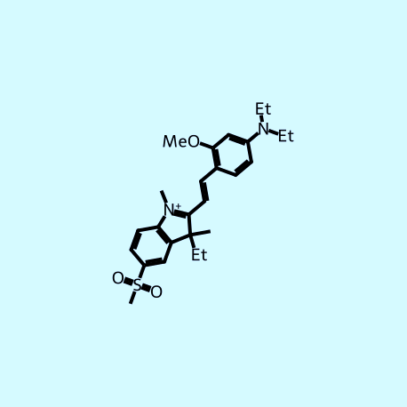 CCN(CC)c1ccc(/C=C/C2=[N+](C)c3ccc(S(C)(=O)=O)cc3C2(C)CC)c(OC)c1